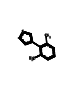 FC(F)(F)c1cccc(C(F)(F)F)c1-c1c[c]sc1